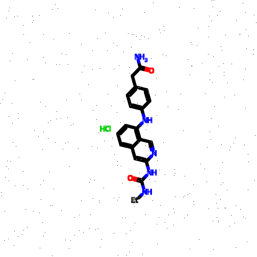 CCNC(=O)Nc1cc2cccc(Nc3ccc(CC(N)=O)cc3)c2cn1.Cl